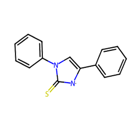 S=C1[N]C(c2ccccc2)=CN1c1ccccc1